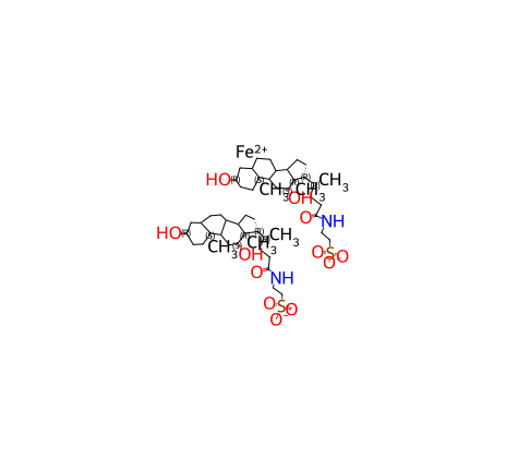 C[C@H](CCC(=O)NCCS(=O)(=O)[O-])[C@H]1CCC2C3CCC4C[C@H](O)CC[C@]4(C)C3C[C@H](O)[C@@]21C.C[C@H](CCC(=O)NCCS(=O)(=O)[O-])[C@H]1CCC2C3CCC4C[C@H](O)CC[C@]4(C)C3C[C@H](O)[C@@]21C.[Fe+2]